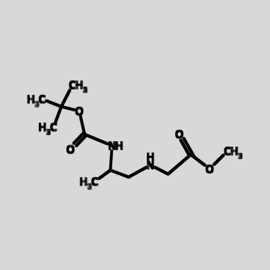 COC(=O)CNCC(C)NC(=O)OC(C)(C)C